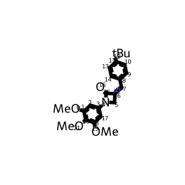 COc1cc(N2C/C(=C/c3ccc(C(C)(C)C)cc3)C2=O)cc(OC)c1OC